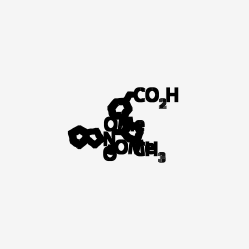 COC(=O)N(Cc1cc(C)ccc1-c1cc(CC(=O)O)ccc1OC)C1Cc2ccccc2C1